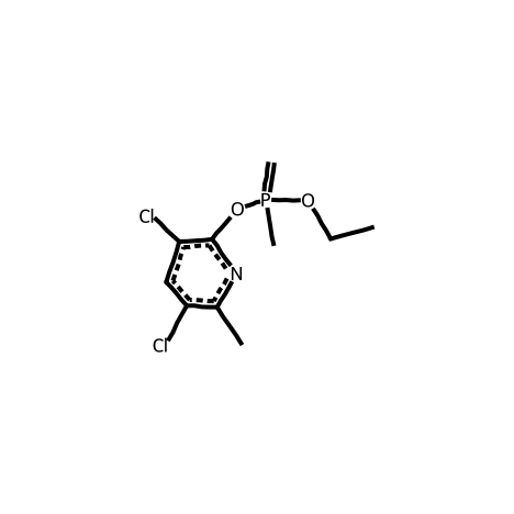 C=P(C)(OCC)Oc1nc(C)c(Cl)cc1Cl